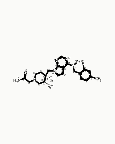 CCN(Cc1ccc(C(F)(F)F)cc1F)c1ncnc2c1ccn2C[C@]1(O)CCN(CC(N)=O)C[C@H]1O